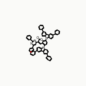 O=c1oc2c(-n3c4ccc(-c5ccccc5)cc4c4cc(-c5ccccc5)ccc43)ccc(-n3c4ccc(-c5ccccc5)cc4c4cc(-c5ccccc5)ccc43)c2cc1-c1cc(-c2ccccc2)nc(-c2ccccc2)n1